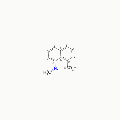 C=Nc1cccc2cccc(S(=O)(=O)O)c12